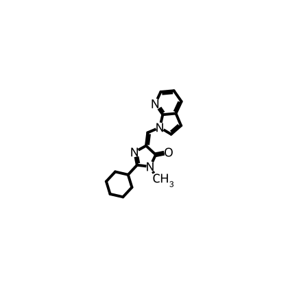 CN1C(=O)C(=Cn2ccc3cccnc32)N=C1C1CCCCC1